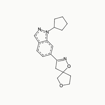 c1cc2cnn(C3CCCC3)c2cc1C1=NOC2(CCOC2)C1